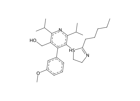 CCCCCC1=NCC[SH]1c1c(C(C)C)nc(C(C)C)c(CO)c1-c1cccc(OC)c1